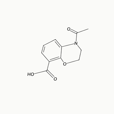 CC(=O)N1CCOc2c(C(=O)O)cccc21